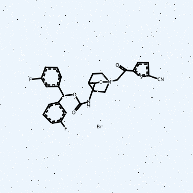 N#Cc1ccc(C(=O)C[N+]23CCC(CC2)C(NC(=O)OC(c2cccc(F)c2)c2cccc(F)c2)C3)s1.[Br-]